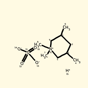 CC1CC(C)C[N+](C)(C)C1.O=S(=O)([O-])[O-].[H+]